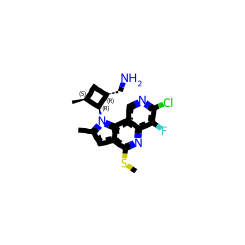 CSc1nc2c(F)c(Cl)ncc2c2c1cc(C)n2[C@H]1[C@@H](CN)C[C@@H]1C